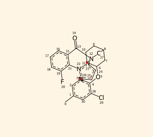 Cc1cnc(OC2CC3CCC2N(C(=O)c2cccc(F)c2-n2nccn2)C3)c(Cl)c1